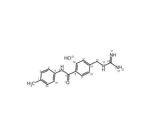 Cc1ccc(NC(=O)c2ccc(CNC(=N)N)cc2)cc1.Cl